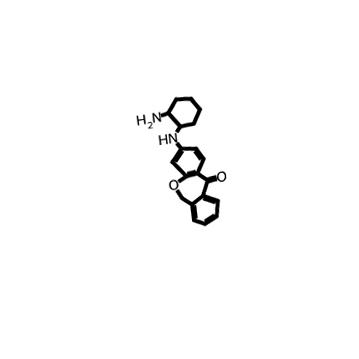 NC1CCCCC1Nc1ccc2c(c1)OCc1ccccc1C2=O